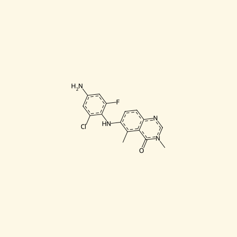 Cc1c(Nc2c(F)cc(N)cc2Cl)ccc2ncn(C)c(=O)c12